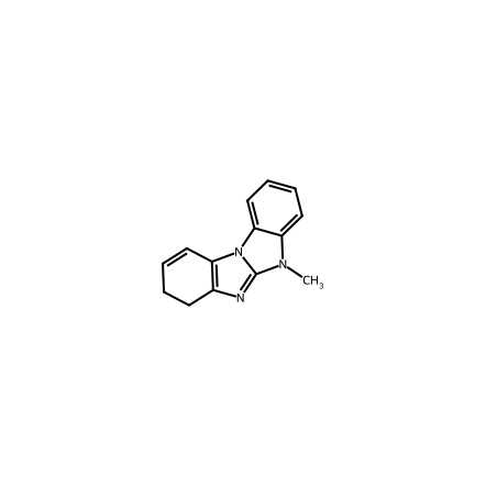 Cn1c2ccccc2n2c3c(nc12)CCC=C3